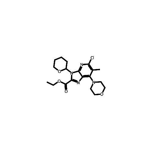 CCOC(=O)c1nc2c(N3CCOCC3)c(C)c(Cl)nc2n1C1CCCCO1